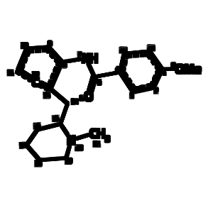 COc1ccc(C(=O)Nc2ccccc2CC2CCCCN2C)cc1